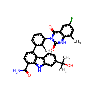 Cc1c(-c2ccc(C(N)=O)c3[nH]c4cc(C(C)(C)O)ccc4c23)cccc1-n1c(=O)[nH]c2c(C)cc(F)cc2c1=O